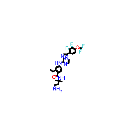 CCc1cc(Nc2nccn3c(-c4ccc(OC(F)F)c(F)c4F)cnc23)ccc1C(=O)NC(C)(C)CCN